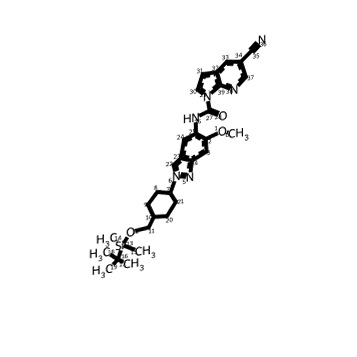 COc1cc2nn(C3CCC(CO[Si](C)(C)C(C)(C)C)CC3)cc2cc1NC(=O)n1ccc2cc(C#N)cnc21